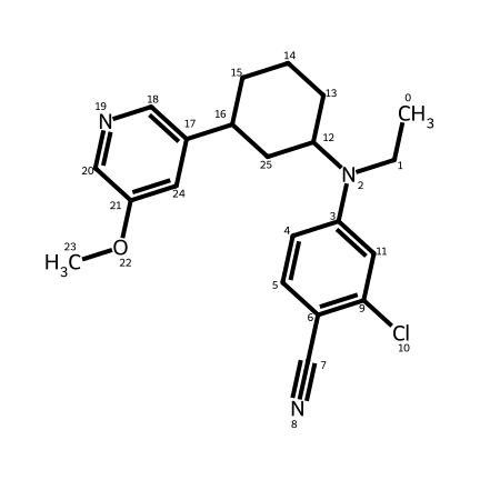 CCN(c1ccc(C#N)c(Cl)c1)C1CCCC(c2cncc(OC)c2)C1